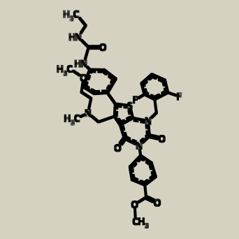 CCNC(=O)Nc1ccc(-c2sc3c(c2CN(C)CCOC)c(=O)n(-c2ccc(C(=O)OC)cc2)c(=O)n3Cc2c(F)cccc2F)cc1